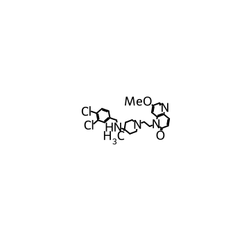 COc1cnc2ccc(=O)n(CCN3CCC(C)(NCc4ccc(Cl)c(Cl)c4)CC3)c2c1